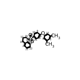 Cc1cc(C)cc(Oc2ccc(S(=O)(=O)N3CCCc4ccccc43)cc2)c1